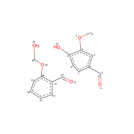 COc1cc(C=O)ccc1O.O=Cc1ccccc1OCO